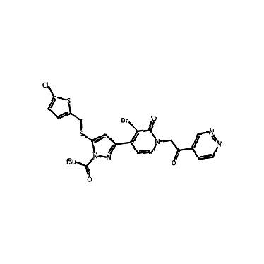 CC(C)(C)C(=O)n1nc(-c2ccn(CC(=O)c3ccnnc3)c(=O)c2Br)cc1SCc1ccc(Cl)s1